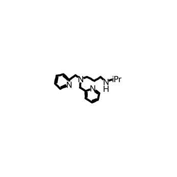 CC(C)NCCCN(Cc1ccccn1)Cc1ccccn1